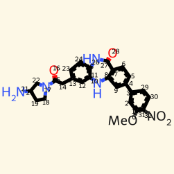 COc1cc(-c2ccc3c(c2)Nc2cc(CC(=O)N4CCC(N)C4)ccc2NC3=O)ccc1[N+](=O)[O-]